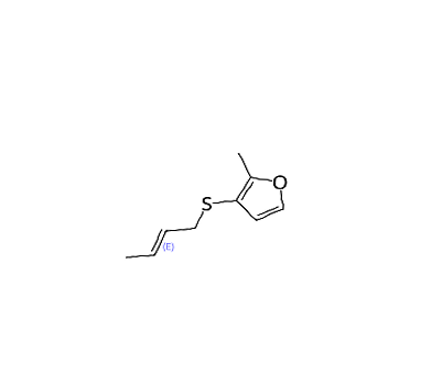 C/C=C/CSc1ccoc1C